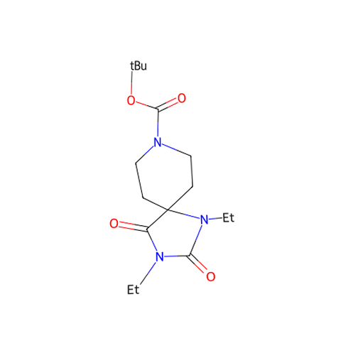 CCN1C(=O)N(CC)C2(CCN(C(=O)OC(C)(C)C)CC2)C1=O